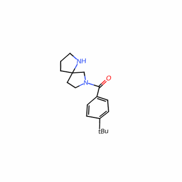 CC(C)(C)c1ccc(C(=O)N2CCC3(CCCN3)C2)cc1